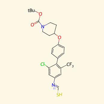 CC(C)(C)OC(=O)N1CCC(Oc2ccc(-c3c(Cl)cc(/N=C/S)cc3C(F)(F)F)cc2)CC1